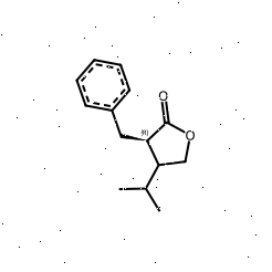 CC(C)C1COC(=O)[C@@H]1Cc1ccccc1